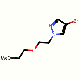 COCCOCCn1cc(Br)cn1